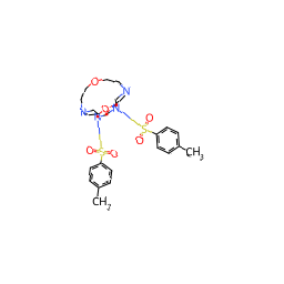 Cc1ccc(S(=O)(=O)N2CCN3CCOCCN(CCOCC3)CCN(S(=O)(=O)c3ccc(C)cc3)CC2)cc1